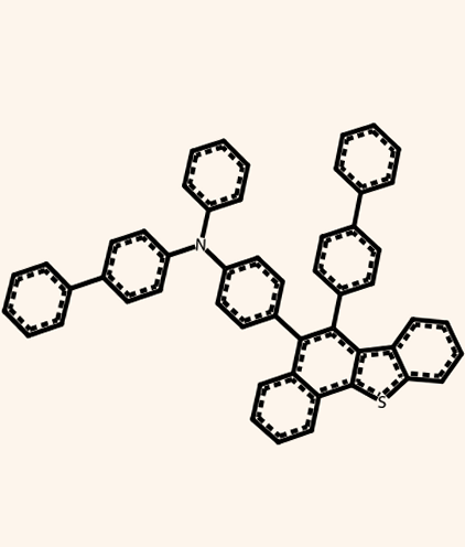 c1ccc(-c2ccc(-c3c(-c4ccc(N(c5ccccc5)c5ccc(-c6ccccc6)cc5)cc4)c4ccccc4c4sc5ccccc5c34)cc2)cc1